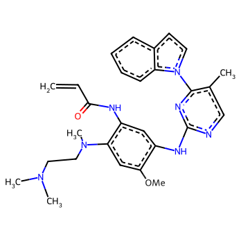 C=CC(=O)Nc1cc(Nc2ncc(C)c(-n3ccc4ccccc43)n2)c(OC)cc1N(C)CCN(C)C